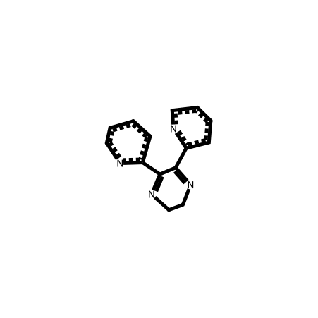 c1ccc(C2=NCCN=C2c2ccccn2)nc1